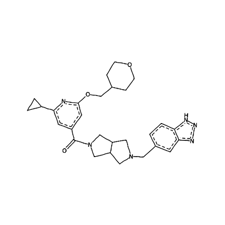 O=C(c1cc(OCC2CCOCC2)nc(C2CC2)c1)N1CC2CN(Cc3ccc4[nH]nnc4c3)CC2C1